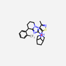 Cc1cc(N2CC3CCC(C2)C3Nc2nc3n(n2)CCCC3c2ccccc2C(F)(F)F)sn1